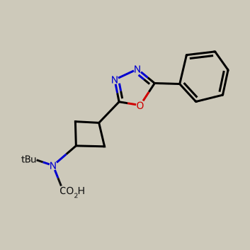 CC(C)(C)N(C(=O)O)C1CC(c2nnc(-c3ccccc3)o2)C1